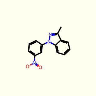 Cc1nn(-c2cccc([N+](=O)[O-])c2)c2ccccc12